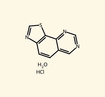 Cl.O.c1ncc2ccc3ncsc3c2n1